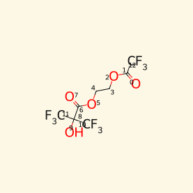 O=C(OCCOC(=O)C(O)(C(F)(F)F)C(F)(F)F)C(F)(F)F